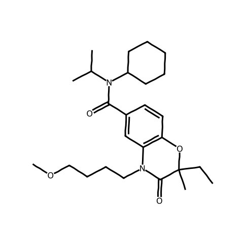 CCC1(C)Oc2ccc(C(=O)N(C(C)C)C3CCCCC3)cc2N(CCCCOC)C1=O